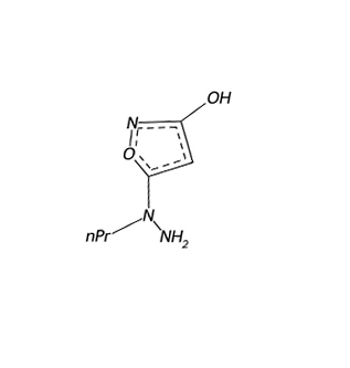 CCCN(N)c1cc(O)no1